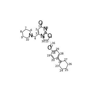 O=c1cc(CN2CCCCC2)n2c(n1)O[C@H](COc1ccc(C3CCCCC3)cc1)C2